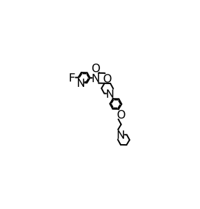 O=C1COC2(CCN(c3ccc(OCCCN4CCCCC4)cc3)CC2)CN1c1ccc(F)nc1